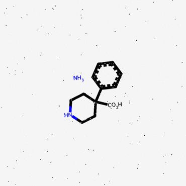 N.O=C(O)C1(c2ccccc2)CCNCC1